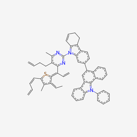 C=C/C=C\c1sc(=C(/C=C)c2nc(-n3c4c(c5ccc(-c6cc7c8ccccc8n(-c8ccccc8)c7c7ccccc67)cc53)CCC=C4)nc(C)c2CCC=C)/c(=C\C)c1C